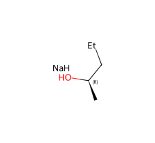 CCC[C@@H](C)O.[NaH]